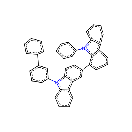 c1ccc(-c2cccc(-n3c4ccccc4c4cc(-c5cccc6c7ccccc7n(-c7ccccc7)c56)ccc43)c2)cc1